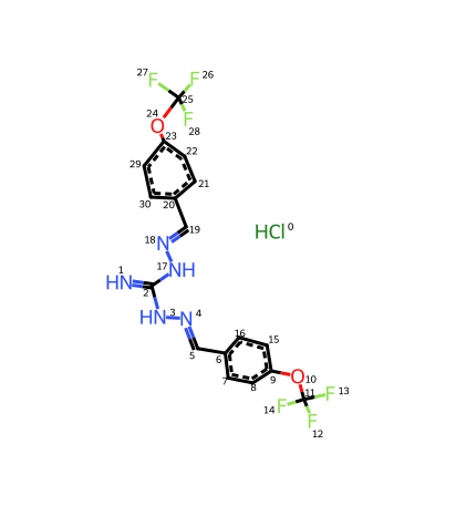 Cl.N=C(NN=Cc1ccc(OC(F)(F)F)cc1)NN=Cc1ccc(OC(F)(F)F)cc1